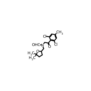 Cc1cc(Cl)c(C(=O)CN(C=O)CC2CCC(C)(C)O2)c(Cl)c1